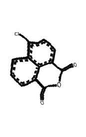 O=C1OC(=O)c2ccc(Cl)c3cccc1c23